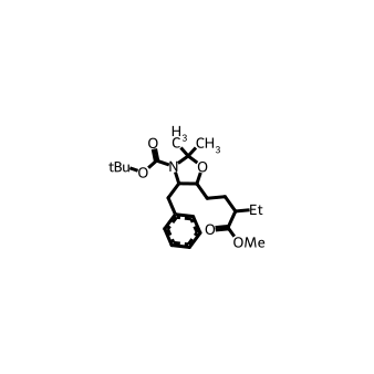 CCC(CCC1OC(C)(C)N(C(=O)OC(C)(C)C)C1Cc1ccccc1)C(=O)OC